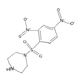 O=[N+]([O-])c1ccc(S(=O)(=O)N2CCNCC2)c([N+](=O)[O-])c1